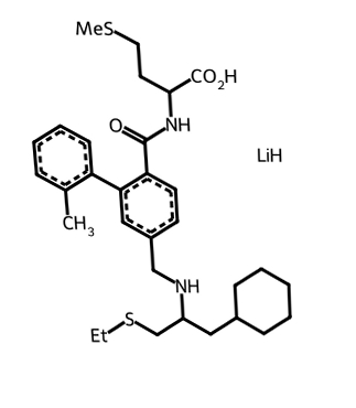 CCSCC(CC1CCCCC1)NCc1ccc(C(=O)NC(CCSC)C(=O)O)c(-c2ccccc2C)c1.[LiH]